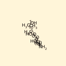 C=C1/C(=C\C=C2/CCC[C@@]3(C)C2CCC3[C@@H](C)/C=C/C(O)C2CC2)CC(OC(=O)CCC(=O)OCC2OC(n3ccc(N)nc3=O)C(F)(F)C2O)C[C@@H]1O